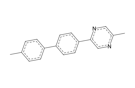 Cc1ccc(-c2ccc(-c3cnc(C)cn3)cc2)cc1